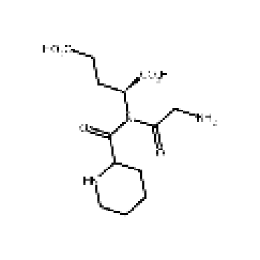 NCC(=O)N(C(=O)C1CCCCN1)[C@@H](CCC(=O)O)C(=O)O